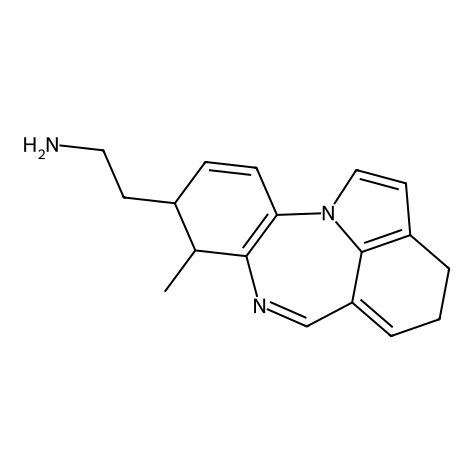 CC1C2=C(C=CC1CCN)n1ccc3c1C(=CCC3)C=N2